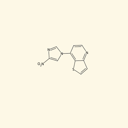 O=[N+]([O-])c1cn(-c2ccnc3ccsc23)cn1